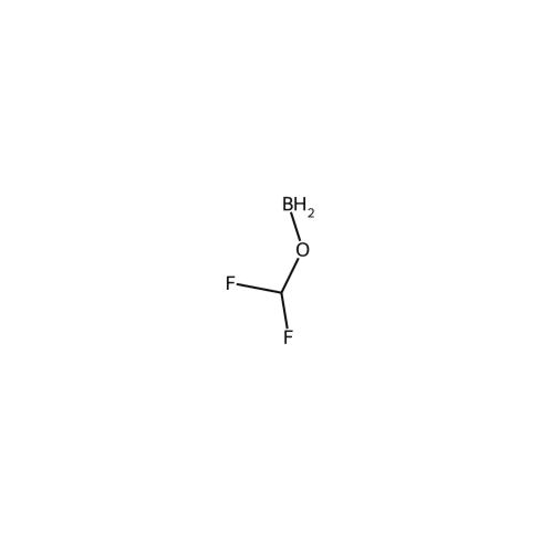 BOC(F)F